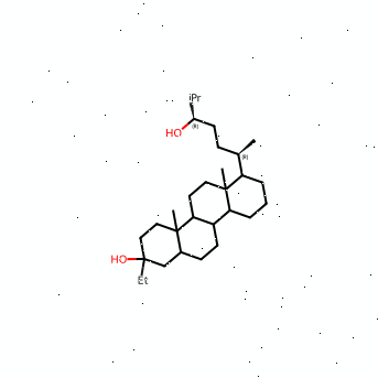 CCC1(O)CCC2(C)C(CCC3C2CCC2(C)C3CCCC2[C@H](C)CC[C@@H](O)C(C)C)C1